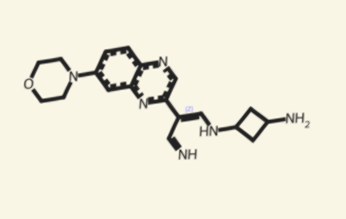 N=C/C(=C\NC1CC(N)C1)c1cnc2ccc(N3CCOCC3)cc2n1